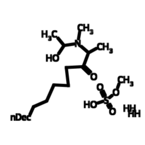 CCCCCCCCCCCCCCCC(=O)C(C)N(C)C(C)O.COS(=O)(=O)O.[HH].[HH]